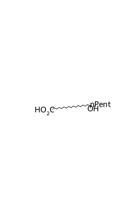 CCCCCC(O)CCCCCCCCCCCCCCCC(=O)O